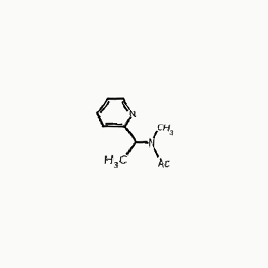 CC(=O)N(C)C(C)c1ccccn1